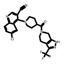 N#Cc1cnc2ccc(Cl)cc2c1N1CCC(C(=O)N2CCc3c(C(F)(F)F)n[nH]c3C2)CC1